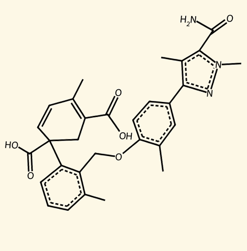 CC1=C(C(=O)O)CC(C(=O)O)(c2cccc(C)c2COc2ccc(-c3nn(C)c(C(N)=O)c3C)cc2C)C=C1